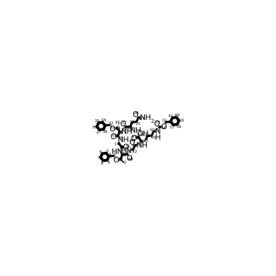 C[C@@H](OCc1ccccc1)[C@H](NC(=O)CNC(=O)[C@@H](NC(=O)[C@@H](N)CCC(N)=O)[C@@H](C)OCc1ccccc1)C(=O)NCC(=O)N[C@@H](CCCCNC(=O)OCc1ccccc1)C(=O)O